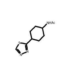 CC(=O)NC1CCC(c2nncs2)CC1